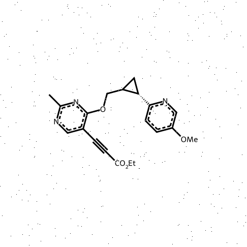 CCOC(=O)C#Cc1cnc(C)nc1OCC1C[C@@H]1c1ccc(OC)cn1